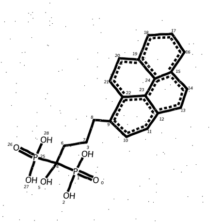 O=P(O)(O)C(O)(CCCc1ccc2ccc3cccc4ccc1c2c34)P(=O)(O)O